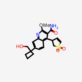 COc1nc2cc(C3(CO)CCC3)ccc2c(C2C=CS(=O)(=O)C2)c1C(N)=O